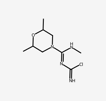 CN/C(=N\C(=N)Cl)N1CC(C)OC(C)C1